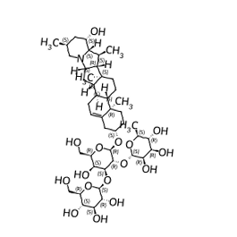 C[C@H]1C[C@H](O)[C@@H]2[C@@H](C)[C@H]3[C@H](C[C@H]4[C@@H]5CC=C6C[C@@H](O[C@@H]7O[C@H](CO)[C@H](O)[C@H](O[C@@H]8O[C@H](CO)[C@@H](O)[C@H](O)[C@H]8O)[C@H]7O[C@@H]7O[C@@H](C)[C@H](O)[C@@H](O)[C@H]7O)CC[C@]6(C)[C@H]5CC[C@]34C)N2C1